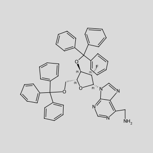 NCc1ncnc2c1ncn2[C@@H]1O[C@H](COC(c2ccccc2)(c2ccccc2)c2ccccc2)[C@@H](OC(c2ccccc2)(c2ccccc2)c2ccccc2)[C@@H]1F